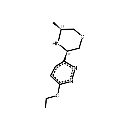 CCOc1ccc([C@@H]2COC[C@H](C)N2)nn1